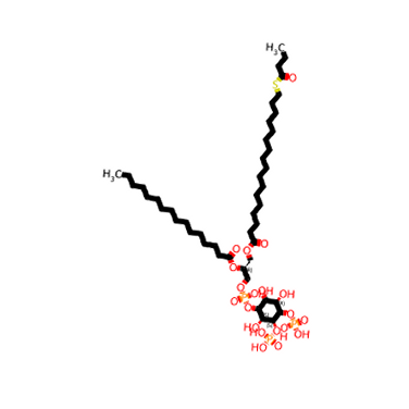 CCCCCCCCCCCCCCCC(=O)O[C@H](COC(=O)CCCCCCCCCCCCCCCCSC(=O)CCC)COP(=O)(O)OC1C(O)[C@@H](O)C(OP(=O)(O)O)[C@@H](OP(=O)(O)O)[C@H]1O